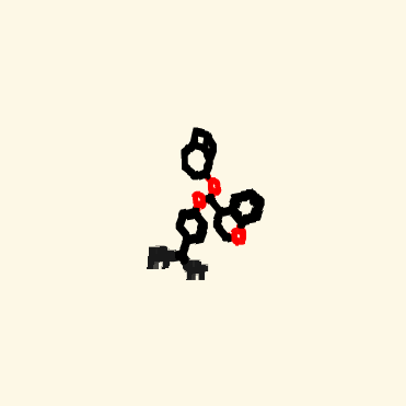 CC(C)C(C(C)C)C1C=CC(OC(OC23CCCC4CC(C2)C4C3)C2CCOc3ccccc32)=CC1